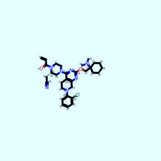 C=CC(=O)N1CCN(c2nc(OCC3(N(C)C)CCCCC3)nc3c2CCN(c2ccccc2Cl)C3)C[C@@H]1CC#N